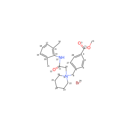 COC(=O)c1ccc(C[N+]2(CC(=O)Nc3c(C)cccc3C)CCCCC2)cc1.[Br-]